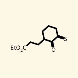 CCOC(=O)CCC1CCCC(=S)C1=O